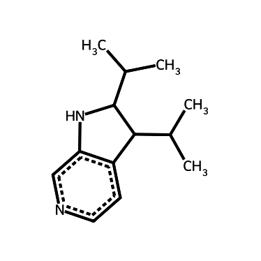 CC(C)C1Nc2cnccc2C1C(C)C